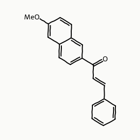 COc1ccc2cc(C(=O)C=Cc3ccccc3)ccc2c1